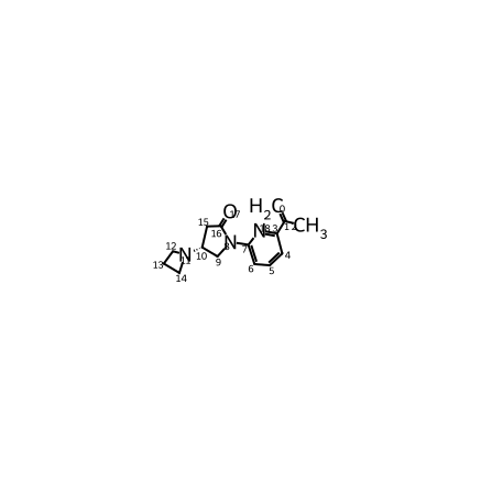 C=C(C)c1cccc(N2C[C@H](N3CCC3)CC2=O)n1